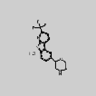 Cl.FC(F)(F)c1ccc2c(n1)[nH]c1ccc(C3CNCCO3)cc12